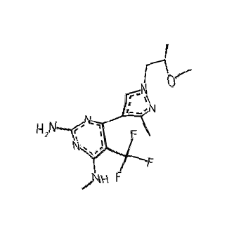 CNc1nc(N)nc(-c2cn(C[C@@H](C)OC)nc2C)c1C(F)(F)F